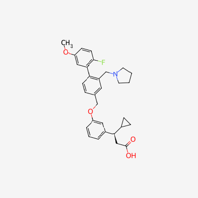 COc1ccc(F)c(-c2ccc(COc3cccc([C@H](CC(=O)O)C4CC4)c3)cc2CN2CCCC2)c1